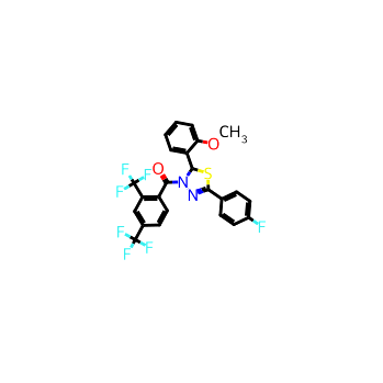 COc1ccccc1C1SC(c2ccc(F)cc2)=NN1C(=O)c1ccc(C(F)(F)F)cc1C(F)(F)F